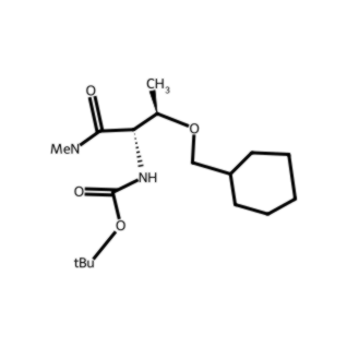 CNC(=O)[C@@H](NC(=O)OC(C)(C)C)[C@@H](C)OCC1CCCCC1